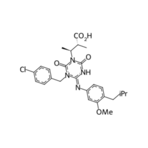 COc1cc(/N=c2\[nH]c(=O)n([C@@H](C)[C@@H](C)C(=O)O)c(=O)n2Cc2ccc(Cl)cc2)ccc1CC(C)C